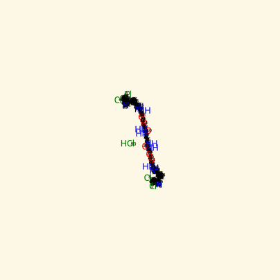 CN1Cc2c(Cl)cc(Cl)cc2[C@H](c2cccc(-c3cnc(NCCOCCOCCNC(=O)NCCCCNC(=O)NCCOCCOCCNc4ncc(-c5cccc([C@@H]6CN(C)Cc7c(Cl)cc(Cl)cc76)c5)cn4)nc3)c2)C1.Cl